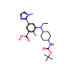 CCN(c1cc(-c2nccn2C)cc(C(=O)OC)c1C)C1CCC(NC(=O)OC(C)(C)C)CC1